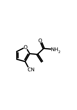 C=C(C(N)=O)c1occc1C#N